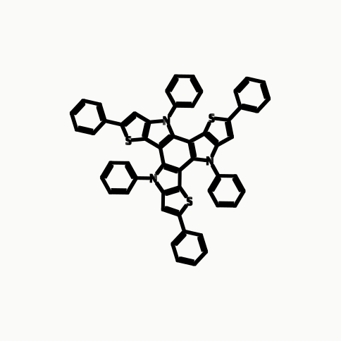 c1ccc(-c2cc3c(s2)c2c(c4c5sc(-c6ccccc6)cc5n(-c5ccccc5)c4c4c5sc(-c6ccccc6)cc5n(-c5ccccc5)c24)n3-c2ccccc2)cc1